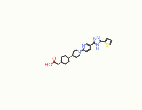 O=C(O)C[C@H]1CC[C@@H](C2CCN(c3ccc(-c4nnc(-c5cccs5)[nH]4)cn3)CC2)CC1